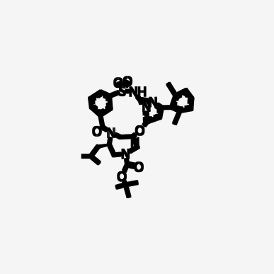 Cc1cccc(C)c1-c1cc2nc(n1)NS(=O)(=O)c1cccc(c1)C(=O)N1C[C@@H](CN(C(=O)OC(C)(C)C)C[C@H]1CC(C)C)O2